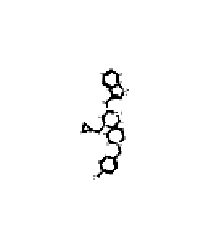 Clc1ccc(CN2CCC3(CC2)CN[C@H](Cc2c[nH]c4ccccc24)CN3CC2CC2)cc1